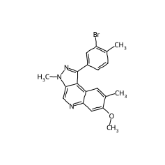 COc1cc2ncc3c(c(-c4ccc(C)c(Br)c4)nn3C)c2cc1C